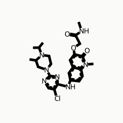 CNC(=O)COc1cc2cc(Nc3nc(N4CCN(C(C)C)C(C)C4)ncc3Cl)ccc2n(C)c1=O